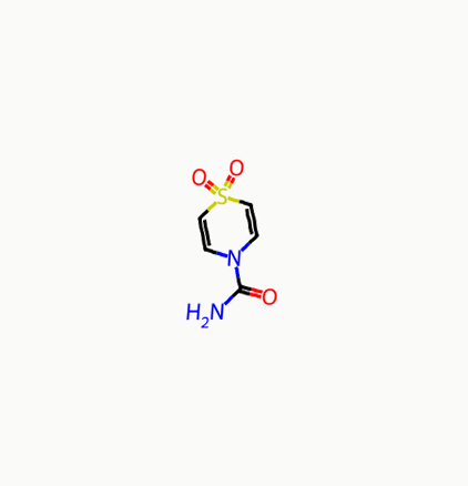 NC(=O)N1C=CS(=O)(=O)C=C1